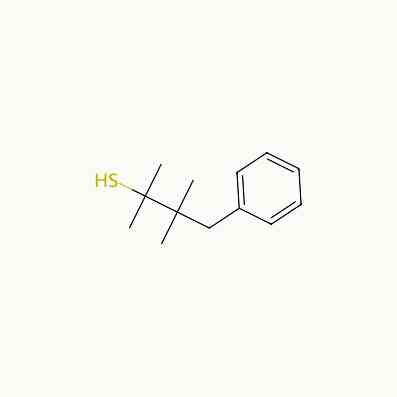 CC(C)(S)C(C)(C)Cc1ccccc1